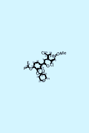 CON/C=C(Cl)\C(CC(=O)c1ccc(OC(F)F)c2c1OC1(CCOCC1)O2)=C(/C)Cl